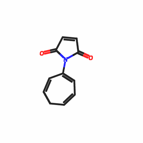 O=C1C=CC(=O)N1C1=CC=CCC=C1